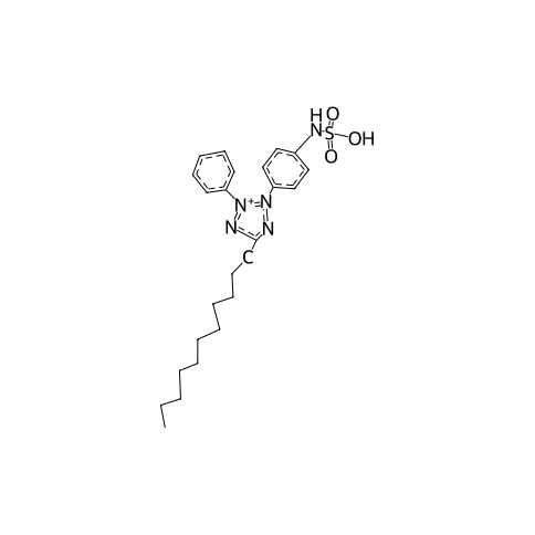 CCCCCCCCCCCc1nn(-c2ccc(NS(=O)(=O)O)cc2)[n+](-c2ccccc2)n1